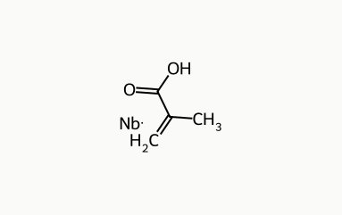 C=C(C)C(=O)O.[Nb]